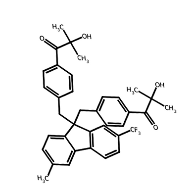 Cc1ccc2c(c1)-c1ccc(C(F)(F)F)cc1C2(Cc1ccc(C(=O)C(C)(C)O)cc1)Cc1ccc(C(=O)C(C)(C)O)cc1